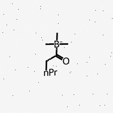 CCCCC(=O)[B-](C)(C)C